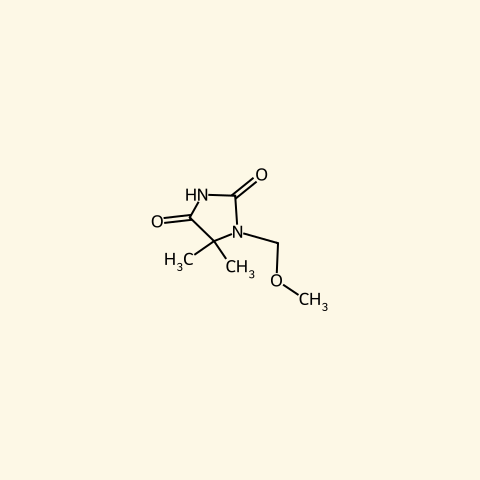 COCN1C(=O)NC(=O)C1(C)C